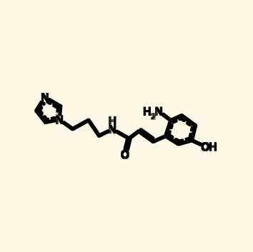 Nc1ccc(O)cc1/C=C/C(=O)NCCCn1ccnc1